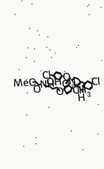 COCC(=O)NCC(O)CCOC1=CCC(C)([C@H]2c3[nH]c4ccc(Cl)cc4c3CCN2C(=O)Oc2ccc(Cl)cc2)C=C1